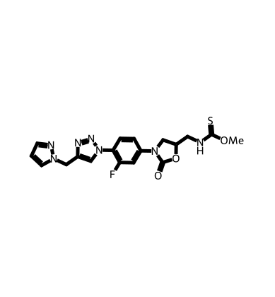 COC(=S)NCC1CN(c2ccc(-n3cc(Cn4cccn4)nn3)c(F)c2)C(=O)O1